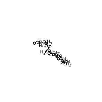 COC(=O)[C@H](CCC(=O)NCCOC(C)(C)OCCNC(=O)OCc1ccccc1)NC(=O)c1ccc(N(Cc2ccc3nc(NC(=O)C(C)C)[nH]c(=O)c3c2)C(=O)C(F)(F)F)cc1